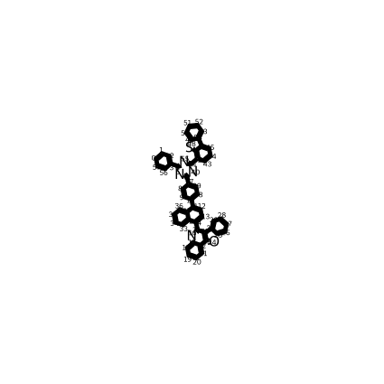 c1ccc(-c2nc(-c3ccc(-c4ccc(-c5nc6ccccc6c6oc7ccccc7c56)c5ccccc45)cc3)nc(-c3cccc4c3sc3ccccc34)n2)cc1